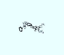 CCCn1c(=O)c2[nH]c(-c3ccc(N(C)C(=O)Nc4ccccc4)nc3)nc2n(CCC)c1=O